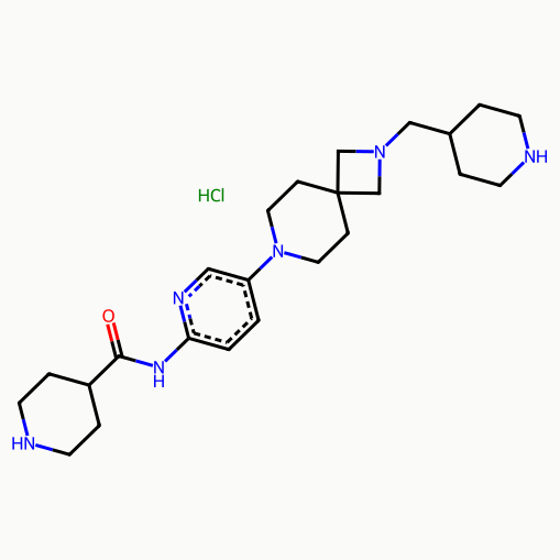 Cl.O=C(Nc1ccc(N2CCC3(CC2)CN(CC2CCNCC2)C3)cn1)C1CCNCC1